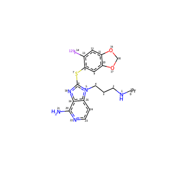 CC(C)NCCCn1c(Sc2cc3c(cc2[123I])OCO3)nc2c(N)nccc21